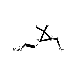 COC=C[C@H]1[C@H](CC(C)=O)C1(C)C